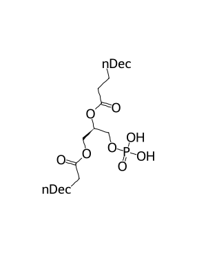 CCCCCCCCCCCCC(=O)O[C@H](COC(=O)CCCCCCCCCCC)COP(=O)(O)O